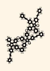 O=C1C(c2ccc(C#Cc3ccccc3)cc2)=C(c2ccc(C#Cc3ccccc3)cc2)C(c2ccc(Oc3ccc(C4=C(c5ccc(C#Cc6ccccc6)cc5)C(=O)C(c5ccccc5)=C4c4ccc(Oc5ccc(C6=C(c7ccccc7)C(=O)C(c7ccc(C#Cc8ccccc8)cc7)=C6c6ccc(-c7ccccc7)cc6)cc5)cc4)cc3)cc2)=C1c1ccccc1